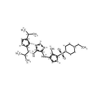 CCN1CCN(S(=O)(=O)c2scc(Nc3nsnc3N[C@@H](c3cc(C(C)C)cs3)C(C)C)c2O)CC1